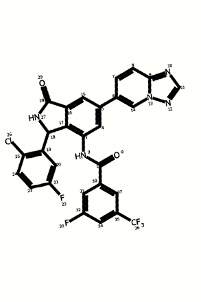 O=C(Nc1cc(-c2ccc3ncnn3c2)cc2c1C(c1cc(F)ccc1Cl)NC2=O)c1cc(F)cc(C(F)(F)F)c1